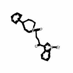 CCn1cc(C(=O)CCC(=O)N2CCC(c3ccccc3)CC2)c2ccccc21